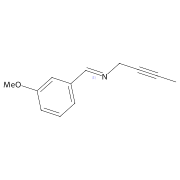 CC#CC/N=C/c1cccc(OC)c1